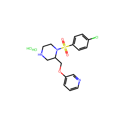 Cl.Cl.O=S(=O)(c1ccc(Cl)cc1)N1CCNCC1COc1cccnc1